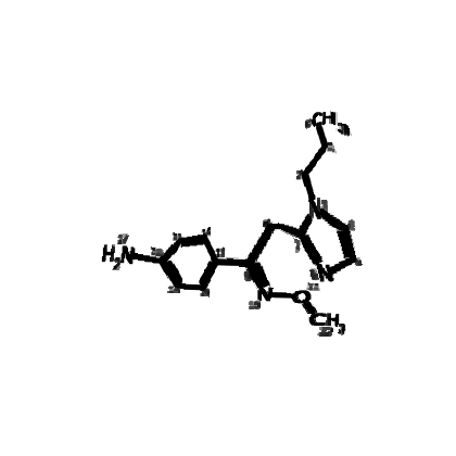 CCCn1ccnc1C/C(=N\OC)c1ccc(N)cc1